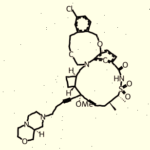 CO[C@@]1(C#CCCN2CCN3CCOC[C@@H]3C2)/C=C/C[C@H](C)[C@@H](C)S(=O)(=O)NC(=O)c2ccc3c(c2)N(CCCCc2cc(Cl)ccc2CO3)C[C@@H]2CC[C@H]21